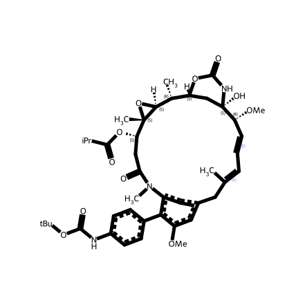 COc1cc2cc(c1-c1ccc(NC(=O)OC(C)(C)C)cc1)N(C)C(=O)C[C@H](OC(=O)C(C)C)[C@]1(C)O[C@H]1[C@H](C)[C@@H]1C[C@@](O)(NC(=O)O1)[C@H](OC)/C=C/C=C(\C)C2